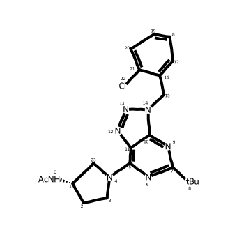 CC(=O)N[C@H]1CCN(c2nc(C(C)(C)C)nc3c2nnn3Cc2ccccc2Cl)C1